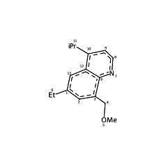 CCc1cc(COC)c2nccc(C(C)C)c2c1